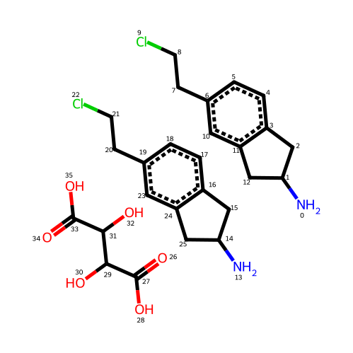 NC1Cc2ccc(CCCl)cc2C1.NC1Cc2ccc(CCCl)cc2C1.O=C(O)C(O)C(O)C(=O)O